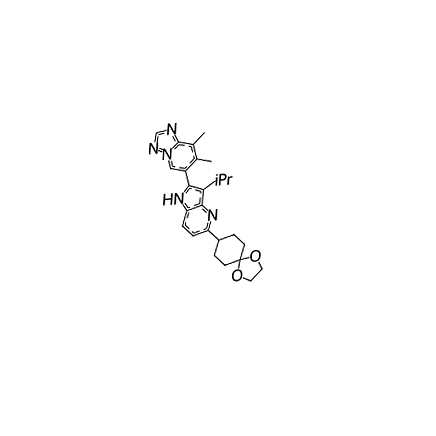 Cc1c(-c2[nH]c3ccc(C4CCC5(CC4)OCCO5)nc3c2C(C)C)cn2ncnc2c1C